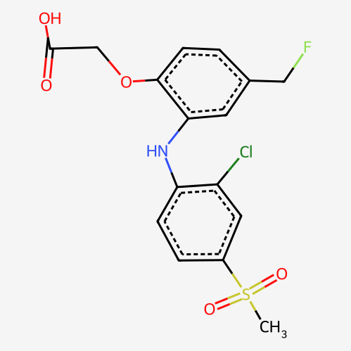 CS(=O)(=O)c1ccc(Nc2cc(CF)ccc2OCC(=O)O)c(Cl)c1